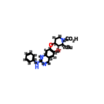 CC(C)(C)C1CC(Oc2cc3nc(Nc4ccccc4)ncc3cc2Br)CCN1C(=O)O